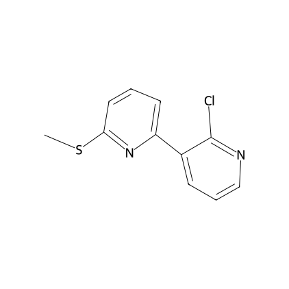 CSc1cccc(-c2cccnc2Cl)n1